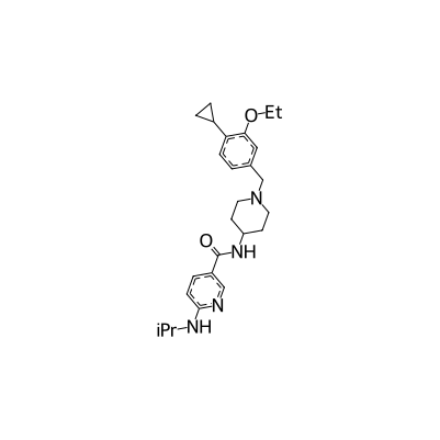 CCOc1cc(CN2CCC(NC(=O)c3ccc(NC(C)C)nc3)CC2)ccc1C1CC1